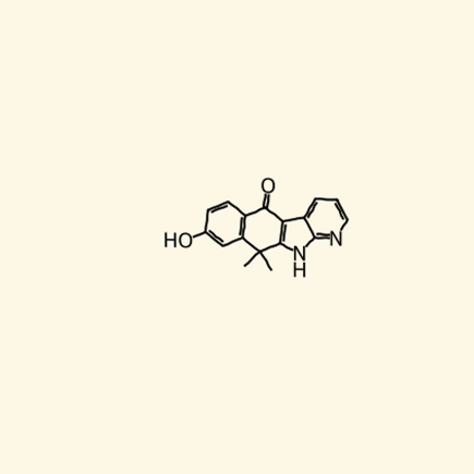 CC1(C)c2cc(O)ccc2C(=O)c2c1[nH]c1ncccc21